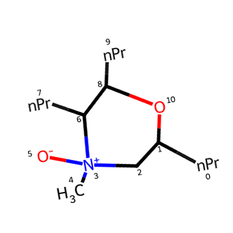 CCCC1C[N+](C)([O-])C(CCC)C(CCC)O1